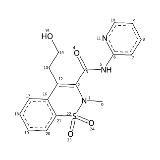 CN1C(C(=O)Nc2ccccn2)=C(CCO)c2ccccc2S1(=O)=O